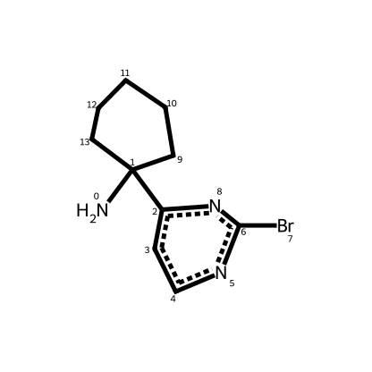 NC1(c2ccnc(Br)n2)CCCCC1